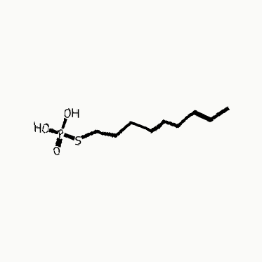 CCCCCCCCCSP(=O)(O)O